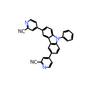 N#Cc1cc(-c2ccc3c(c2)c2cc(-c4ccnc(C#N)c4)ccc2n3-c2ccccc2)ccn1